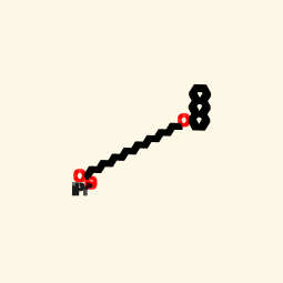 CC(C)OC(=O)CCCCCCCCCCCCCCCCOc1cccc2cc3ccccc3cc12